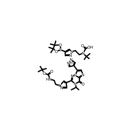 CC(C)(C)N(CCn1cc(B2OC(C)(C)C(C)(C)O2)cn1)C(=O)O.CC(C)n1c(-c2cnn(CCNC(=O)OC(C)(C)C)c2)nn2c(-c3cn[nH]c3)cnc2c1=O